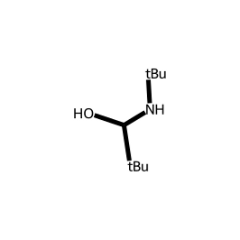 CC(C)(C)NC(O)C(C)(C)C